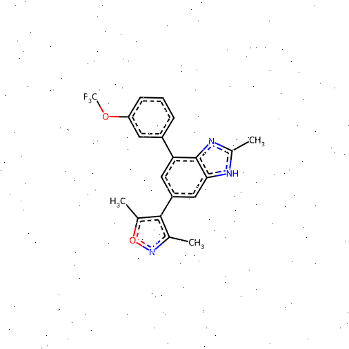 Cc1nc2c(-c3cccc(OC(F)(F)F)c3)cc(-c3c(C)noc3C)cc2[nH]1